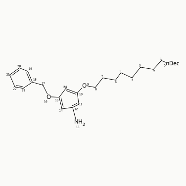 CCCCCCCCCCCCCCCCCCOc1cc(N)cc(OCc2ccccc2)c1